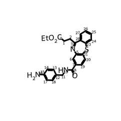 CCOC(=O)CCC1=Nc2cc(C(=O)NCc3ccc(N)cc3)ccc2Sc2ccccc21